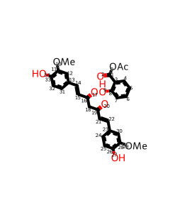 CC(=O)OC(=O)c1ccccc1O.COc1cc(C=CC(=O)CC(=O)C=Cc2ccc(O)c(OC)c2)ccc1O